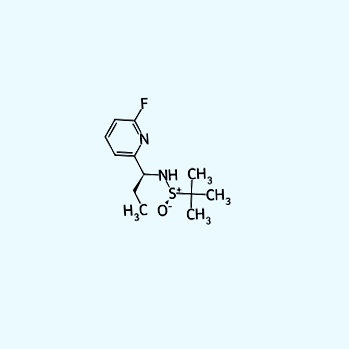 CC[C@H](N[S@+]([O-])C(C)(C)C)c1cccc(F)n1